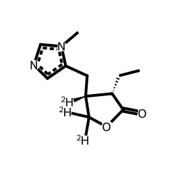 [2H]C1([2H])OC(=O)[C@@H](CC)[C@@]1([2H])Cc1cncn1C